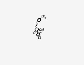 O=C1CC(CCSc2ccc(C(F)(F)F)cc2)CC(O)=C1c1ccc(Cl)cc1Cl